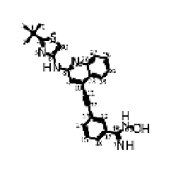 CC(C)(C)c1nc(Nc2cc(C#Cc3cccc(C(=N)NO)c3)c3ccccc3n2)cs1